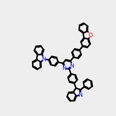 c1ccc(C2=Nc3ccccc3C2c2ccc(-c3nc(-c4ccc(-c5ccc6oc7ccccc7c6c5)cc4)cc(-c4ccc(-n5c6ccccc6c6ccccc65)cc4)n3)cc2)cc1